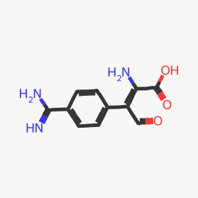 N=C(N)c1ccc(/C(C=O)=C(\N)C(=O)O)cc1